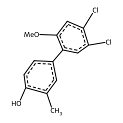 COc1cc(Cl)c(Cl)cc1-c1ccc(O)c(C)c1